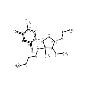 COCCOC1(C)C(OC)[C@@H](COC)O[C@H]1n1cc(C)c(=O)[nH]c1=S